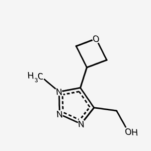 Cn1nnc(CO)c1C1COC1